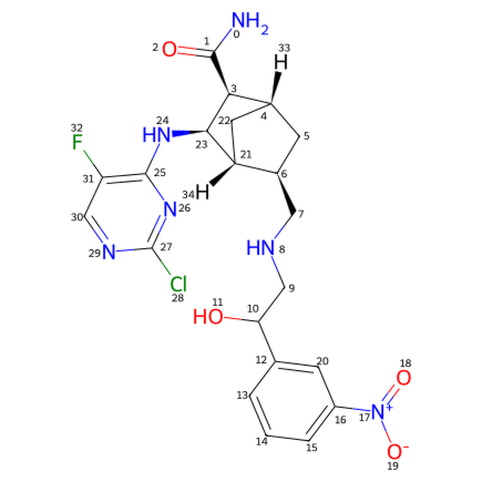 NC(=O)[C@H]1[C@@H]2C[C@@H](CNCC(O)c3cccc([N+](=O)[O-])c3)[C@@H](C2)[C@H]1Nc1nc(Cl)ncc1F